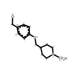 O=C(O)N1CCC(COc2ccc(CCl)cc2)CC1